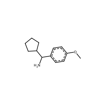 COc1ccc(C(N)C2CCCC2)cc1